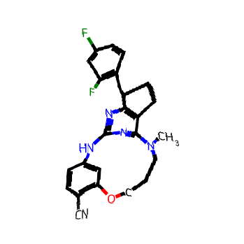 CN1CCCOc2cc(ccc2C#N)Nc2nc3c(c1n2)CCC3c1ccc(F)cc1F